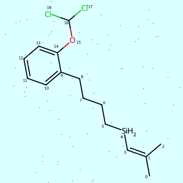 CC(C)=C[SiH2]CCCCc1ccccc1OC(Cl)Cl